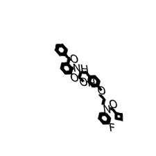 O=C(c1ccccc1)c1ccccc1NC(Cc1ccc(OCCCN(C(=O)C2CCC2)c2cccc(F)c2)cc1)C(=O)O